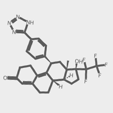 C[C@]12C[C@H](c3ccc(-c4nnn[nH]4)cc3)C3=C4CCC(=O)C=C4CC[C@H]3[C@@H]1CC[C@@]2(O)C(F)(F)C(F)(F)F